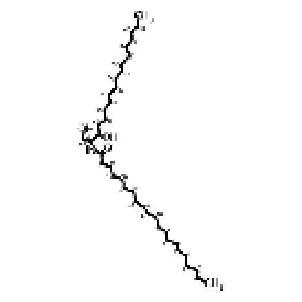 CCCCCCCCCCCCCCCCCCCCC(=O)NC(CO)C(O)CCCCCCCCCCCCCCC